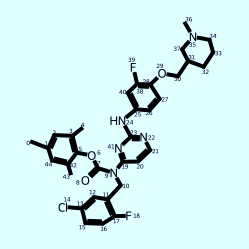 Cc1cc(C)c(OC(=O)N(Cc2cc(Cl)ccc2F)c2ccnc(Nc3ccc(OCC4CCCN(C)C4)c(F)c3)n2)c(C)c1